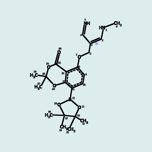 CN/C=C(\C=N)COc1ccc(B2OC(C)(C)C(C)(C)O2)c2c1C(=O)OC(C)(C)O2